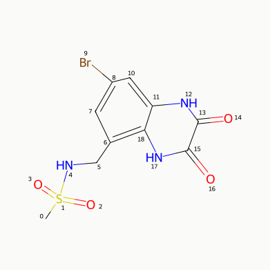 CS(=O)(=O)NCc1cc(Br)cc2[nH]c(=O)c(=O)[nH]c12